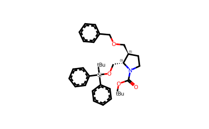 CC(C)(C)OC(=O)N1CC[C@H](COCc2ccccc2)[C@H]1CO[Si](c1ccccc1)(c1ccccc1)C(C)(C)C